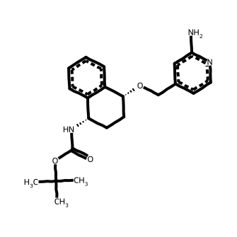 CC(C)(C)OC(=O)N[C@H]1CC[C@@H](OCc2ccnc(N)c2)c2ccccc21